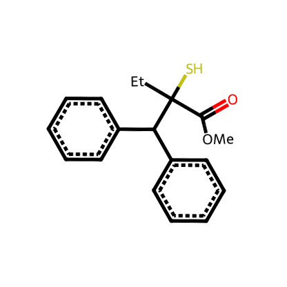 CCC(S)(C(=O)OC)C(c1ccccc1)c1ccccc1